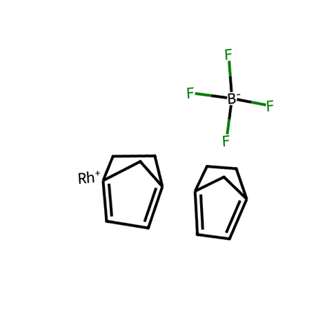 C1=C2CCC(=C1)C2.C1=C2CCC(=C1)C2.F[B-](F)(F)F.[Rh+]